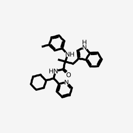 Cc1cccc(NC(C)(Cc2c[nH]c3ccccc23)C(=O)NC(c2ccccn2)C2CCCCC2)c1